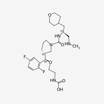 CNC[C@H](CC1CCOCC1)NC(=O)N1CCC[C@@H]([C@@H](OCCNC(=O)O)c2cc(F)ccc2F)C1